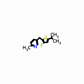 Cc1ccc(Cc2sc(C(C)C)cc2F)cn1